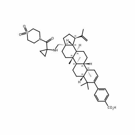 C=C(C)[C@@H]1CC[C@]2(CNC3(C(=O)N4CCS(=O)(=O)CC4)CC3)CC[C@]3(C)[C@H](CC[C@@H]4[C@@]5(C)CC=C(c6ccc(C(=O)O)cc6)C(C)(C)[C@@H]5CC[C@]43C)[C@@H]12